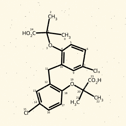 CC(C)(Oc1ccc(Cl)cc1Cc1cc(Cl)ccc1OC(C)(C)C(=O)O)C(=O)O